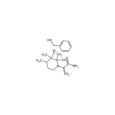 C=C(C(N)=O)N1CCC(C)C(C)(C)C1(C)C.OCc1ccccc1